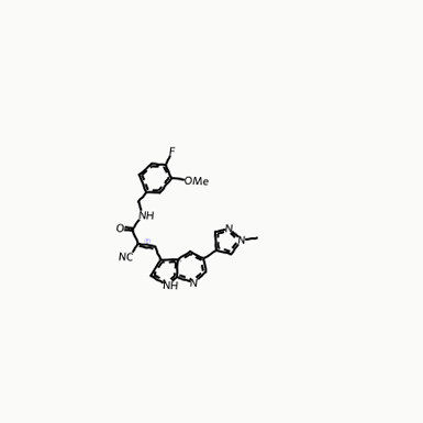 COc1cc(CNC(=O)/C(C#N)=C/c2c[nH]c3ncc(-c4cnn(C)c4)cc23)ccc1F